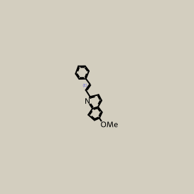 COc1ccc2nc(/C=C/c3ccccc3)ccc2c1